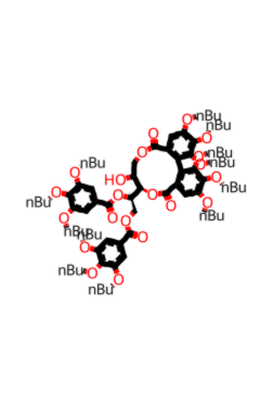 CCCCOc1cc(C(=O)OC[C@@H](OC(=O)c2cc(OCCCC)c(OCCCC)c(OCCCC)c2)[C@@H]2OC(=O)c3cc(OCCCC)c(OCCCC)c(OCCCC)c3-c3c(cc(OCCCC)c(OCCCC)c3OCCCC)C(=O)OCC2O)cc(OCCCC)c1OCCCC